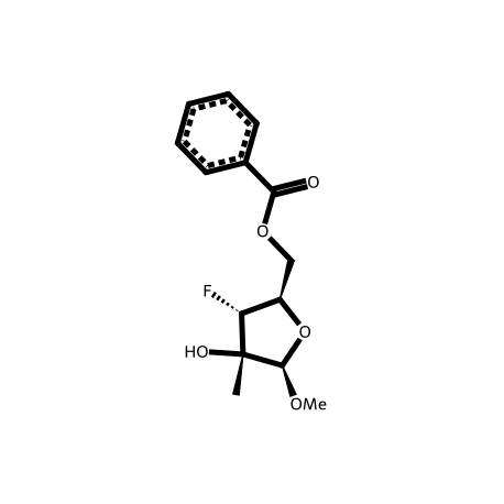 CO[C@@H]1O[C@H](COC(=O)c2ccccc2)[C@@H](F)[C@@]1(C)O